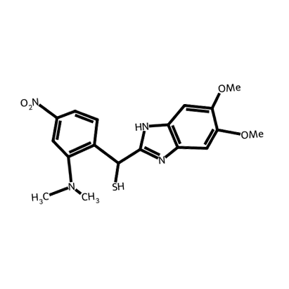 COc1cc2nc(C(S)c3ccc([N+](=O)[O-])cc3N(C)C)[nH]c2cc1OC